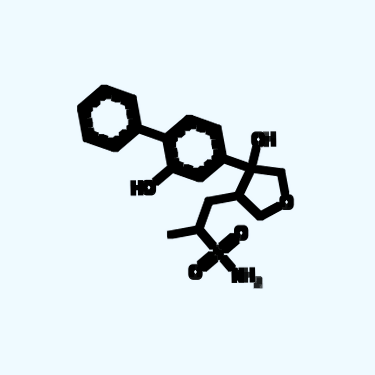 CC(CC1COCC1(O)c1ccc(-c2ccccc2)c(O)c1)S(N)(=O)=O